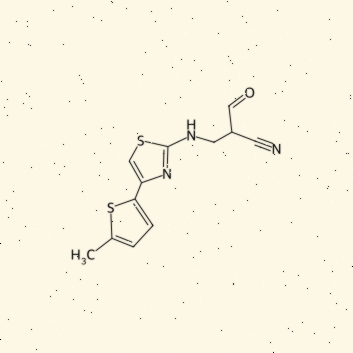 Cc1ccc(-c2csc(NCC(C#N)C=O)n2)s1